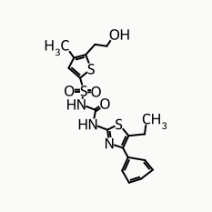 CCc1sc(NC(=O)NS(=O)(=O)c2cc(C)c(CCO)s2)nc1-c1ccccc1